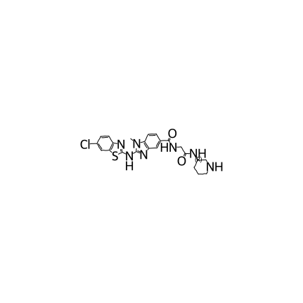 Cn1c(Nc2nc3ccc(Cl)cc3s2)nc2cc(C(=O)NCC(=O)N[C@@H]3CCCNC3)ccc21